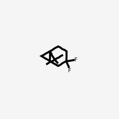 CC(C)(C)C12CCC(F)(F)CC1C2